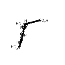 O=C(O)CCCCCCCCCCCCCCCCC(=O)NC(CCC(=O)NCCOCCOCC(=O)NCCOCCOCC(=O)NCCCCCC(=O)O)C(=O)O